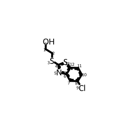 OCCSc1nc2cc(Cl)ccc2s1